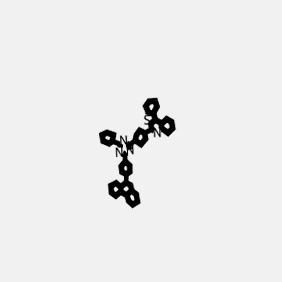 c1ccc(-c2nc(-c3ccc(-c4cc5ccccc5c5ccccc45)cc3)nc(-c3ccc(-c4nc5ccccc5c5c4sc4ccccc45)cc3)n2)cc1